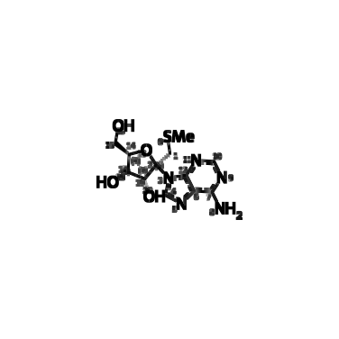 CSC[C@@]1(n2cnc3c(N)ncnc32)O[C@H](CO)[C@@H](O)[C@H]1O